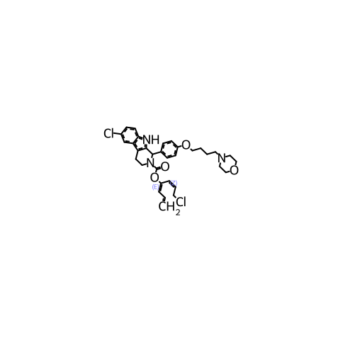 C=C/C=C(\C=C/CCl)OC(=O)N1CCc2c([nH]c3ccc(Cl)cc23)C1c1ccc(OCCCCN2CCOCC2)cc1